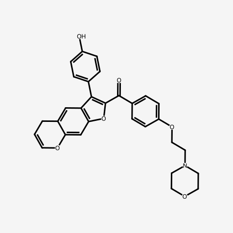 O=C(c1ccc(OCCN2CCOCC2)cc1)c1oc2cc3c(cc2c1-c1ccc(O)cc1)CC=CO3